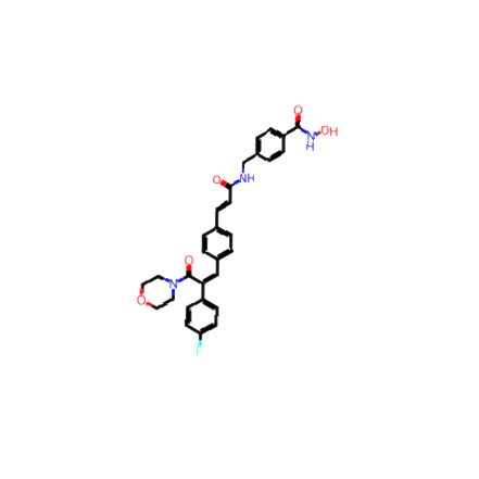 O=C(C=Cc1ccc(C=C(C(=O)N2CCOCC2)c2ccc(F)cc2)cc1)NCc1ccc(C(=O)NO)cc1